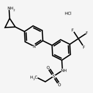 CCS(=O)(=O)Nc1cc(-c2ccc(C3CC3N)cn2)cc(C(F)(F)F)c1.Cl